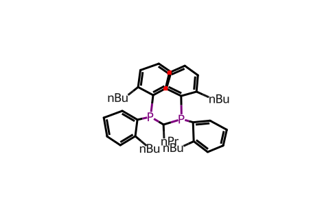 CCCCc1ccccc1P(c1ccccc1CCCC)C(CCC)P(c1ccccc1CCCC)c1ccccc1CCCC